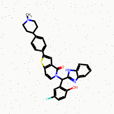 CN1CCC(c2ccc(-c3cc4c(=O)n(C(c5nc6ccccc6[nH]5)c5cc(F)ccc5O)ccc4s3)cc2)CC1